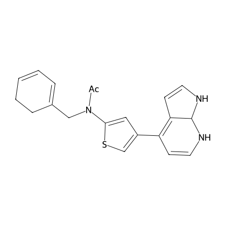 CC(=O)N(CC1=CC=CCC1)c1cc(C2=C3C=CNC3NC=C2)cs1